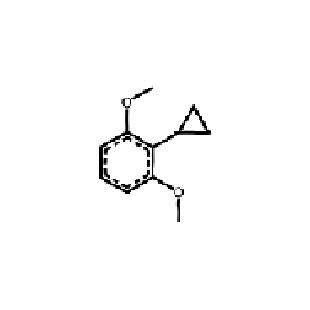 COc1cccc(OC)c1[C]1CC1